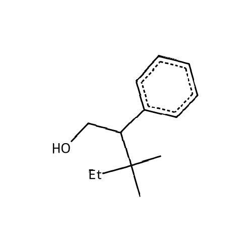 CCC(C)(C)C(CO)c1ccccc1